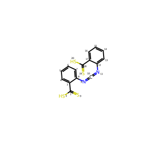 S=C(S)c1ccccc1N=C=Nc1ccccc1C(=S)S